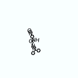 O=C(CCN1CCN(C(c2ccccc2)c2ccccc2)CC1)Nc1ccc(N2CCOCC2)cc1